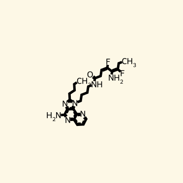 CCCCc1nc2c(N)nc3cccnc3c2n1CCCCNC(=O)C/C=C(F)\C(N)=C(\F)CC